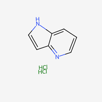 Cl.Cl.c1cnc2cc[nH]c2c1